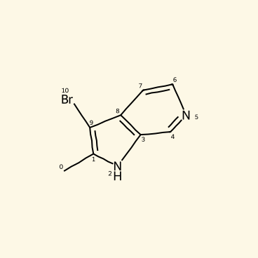 Cc1[nH]c2cnccc2c1Br